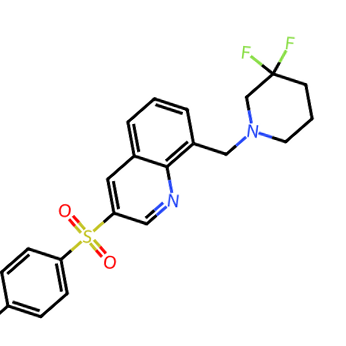 O=S(=O)(c1ccc(F)cc1)c1cnc2c(CN3CCCC(F)(F)C3)cccc2c1